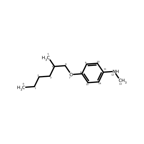 CCCCC(C)COc1ccc(NC)cc1